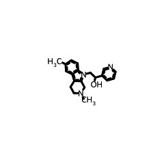 Cc1ccc2c(c1)c1c(n2CC(O)c2cccnc2)CN(C)CC1